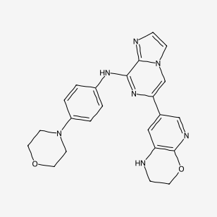 c1cn2cc(-c3cnc4c(c3)NCCO4)nc(Nc3ccc(N4CCOCC4)cc3)c2n1